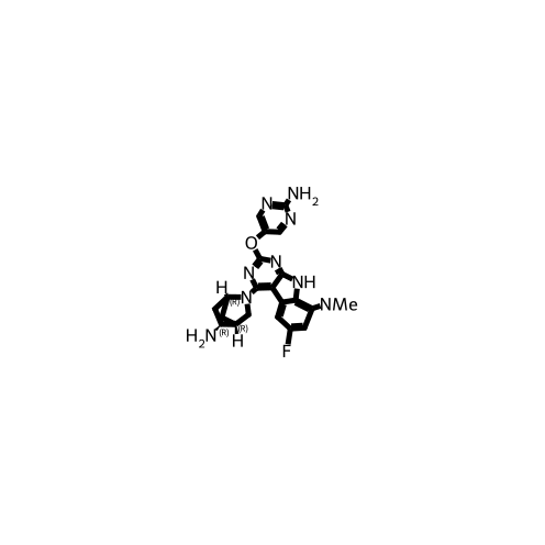 CNc1cc(F)cc2c1[nH]c1nc(Oc3cnc(N)nc3)nc(N3C[C@H]4C[C@@H]3C[C@H]4N)c12